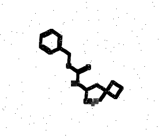 CC1(CC(NC(=O)OCc2ccccc2)C(=O)O)CCC1